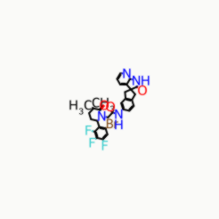 CC1(C)CCC(c2c(Br)cc(F)c(F)c2F)N(CC(=O)Nc2ccc3c(c2)CC2(C3)C(=O)Nc3ncccc32)C1=O